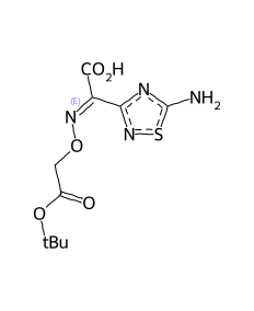 CC(C)(C)OC(=O)CO/N=C(/C(=O)O)c1nsc(N)n1